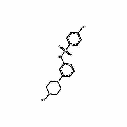 CCCN1CCN(c2cncc(NS(=O)(=O)c3ccc(C(C)C)cc3)c2)CC1